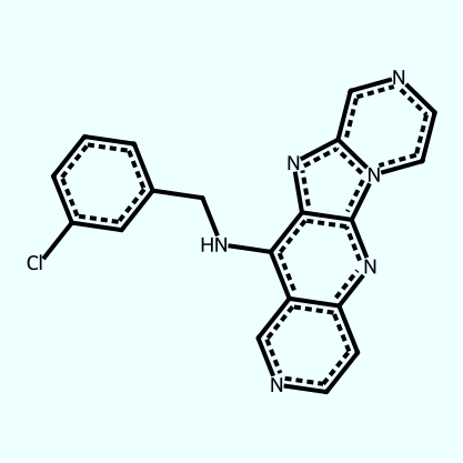 Clc1cccc(CNc2c3cnccc3nc3c2nc2cnccn23)c1